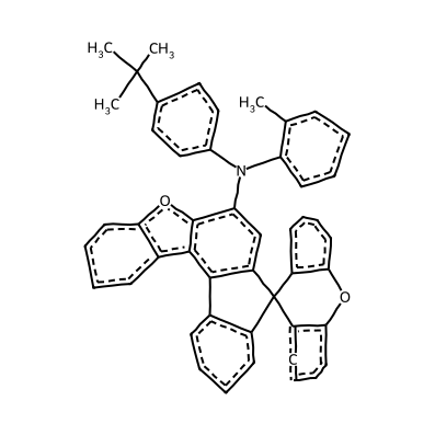 Cc1ccccc1N(c1ccc(C(C)(C)C)cc1)c1cc2c(c3c1oc1ccccc13)-c1ccccc1C21c2ccccc2Oc2ccccc21